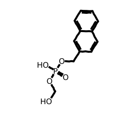 O=P(O)(OCO)OCc1ccc2ccccc2c1